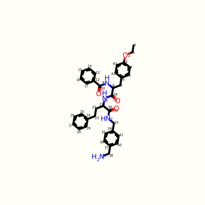 CCOc1ccc(CC(NC(=O)c2ccccc2)C(=O)NC(CCc2ccccc2)C(=O)NCc2ccc(CN)cc2)cc1